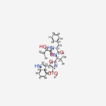 COC(=O)c1nc([C@@H](NC(=O)[C@H](Cc2ccccc2)NC(=O)[C@@H](O)C(C)C)C(C)C)oc1-c1c[nH]c2ccccc12